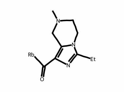 CCc1nc([C](=O)[Rb])c2n1CCN(C)C2